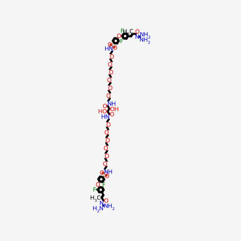 C/C(=C\c1cc(F)c(Oc2ccc(S(=O)(=O)NCCOCCOCCOCCOCCOCCOCCNC(=O)C(O)C(O)C(=O)NCCOCCOCCOCCOCCOCCOCCNS(=O)(=O)c3ccc(Oc4c(F)cc(/C=C(\C)C(=O)N=C(N)N)cc4F)cc3)cc2)c(F)c1)C(=O)N=C(N)N